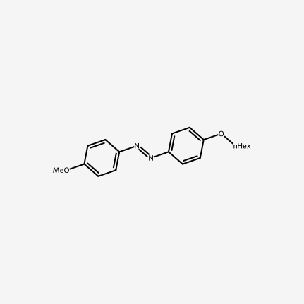 CC[CH]CCCOc1ccc(N=Nc2ccc(OC)cc2)cc1